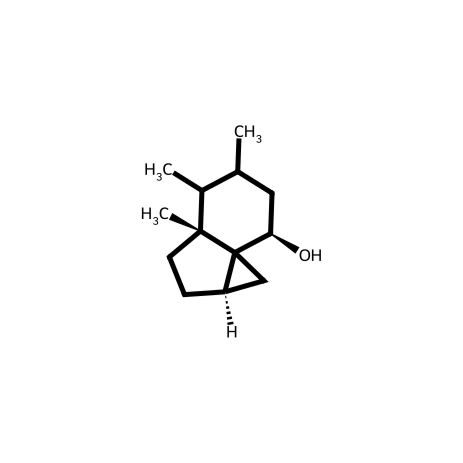 CC1C[C@@H](O)C23C[C@H]2CC[C@]3(C)C1C